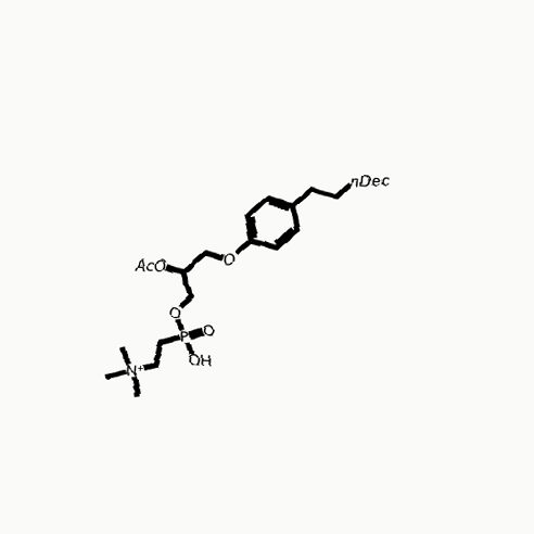 CCCCCCCCCCCCc1ccc(OCC(COP(=O)(O)CC[N+](C)(C)C)OC(C)=O)cc1